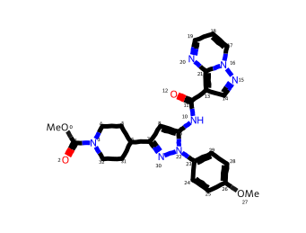 COC(=O)N1CCC(c2cc(NC(=O)c3cnn4cccnc34)n(-c3ccc(OC)cc3)n2)CC1